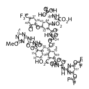 COc1nc(C)nc(NC(=O)NS(=O)(=O)c2ccccc2CCC(F)(F)F)n1.CS(=O)(=O)NC(=O)c1cc(Oc2ccc(C(F)(F)F)cc2Cl)ccc1[N+](=O)[O-].O=C(Nc1nc(OC(F)F)cc(OC(F)F)n1)NS(=O)(=O)c1ccccc1C(=O)O.O=C(O)CNCP(=O)(O)O